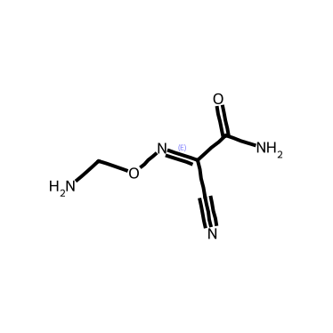 N#C/C(=N\OCN)C(N)=O